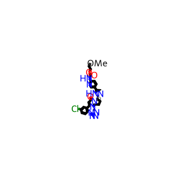 COCCOC(=O)Nc1ccc(-c2cnc([C@@H]3CCc4nc(-c5cc(Cl)ccc5-n5cnnn5)cc(=O)n43)[nH]2)cn1